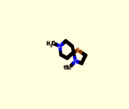 CN1CCC2(CC1)SCCN2C(C)(C)C